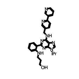 CC(C)n1cnc2c(NCc3ccc(-c4cccnc4)nc3)nc(-c3ccccc3NCCCO)nc21